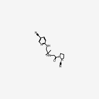 CC(C)(CNc1ccc(C#N)cn1)NCC(=O)N1CCC[C@H]1C#N